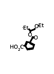 C[CH]C(COCC)OC(=O)c1cccc(C(=O)O)c1